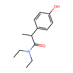 CCN(CC)C(=O)C(C)c1ccc(O)cc1